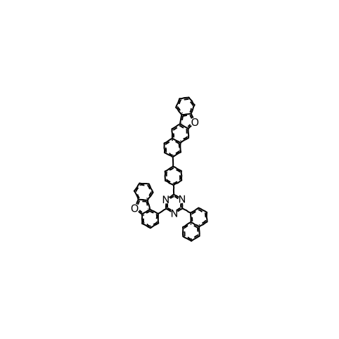 c1ccc2c(-c3nc(-c4ccc(-c5ccc6cc7c(cc6c5)oc5ccccc57)cc4)nc(-c4cccc5oc6ccccc6c45)n3)cccc2c1